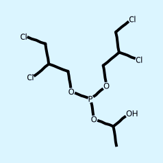 CC(O)OP(OCC(Cl)CCl)OCC(Cl)CCl